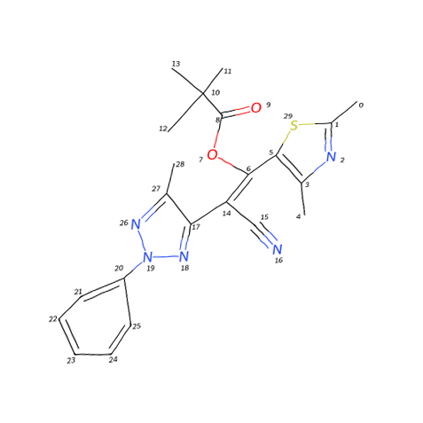 Cc1nc(C)c(C(OC(=O)C(C)(C)C)=C(C#N)c2nn(-c3ccccc3)nc2C)s1